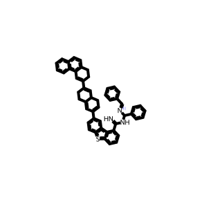 N=C(NC(/N=C/c1ccccc1)c1ccccc1)c1cccc2sc3ccc(C4=CCC5C=C(C6=Cc7c(ccc8ccccc78)CC6)CCC5=C4)cc3c12